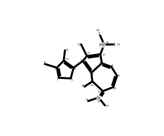 CC1=CCC(C2=C3C(=CC=CC(=[Si](C)C)C3C)[C]([Hf]([I])[I])=C2C)=C1C